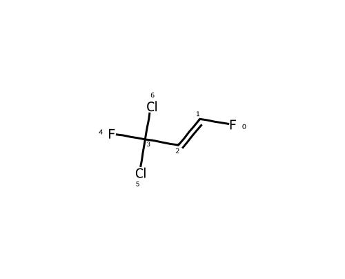 FC=CC(F)(Cl)Cl